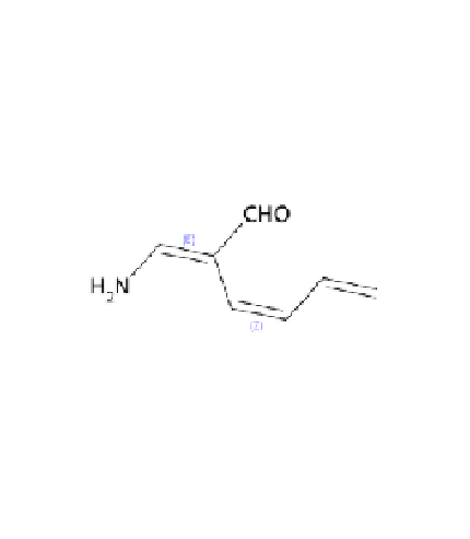 C=C/C=C\C(C=O)=C/N